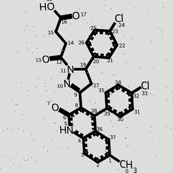 Cc1ccc2[nH]c(=O)c(C3=NN(C(=O)CCC(=O)O)C(c4ccc(Cl)cc4)C3)c(-c3ccc(Cl)cc3)c2c1